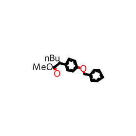 CCCCC(C(=O)OC)c1ccc(OCc2ccccc2)cc1